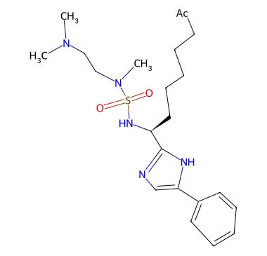 CC(=O)CCCCC[C@H](NS(=O)(=O)N(C)CCN(C)C)c1ncc(-c2ccccc2)[nH]1